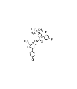 CCC(=O)NC(CCCNC(=O)C1CN(C(C)(C)C)C[C@H]1C1C=CC(F)=CC1F)c1ccc(Cl)cc1